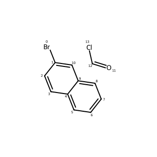 Brc1ccc2ccccc2c1.O=CCl